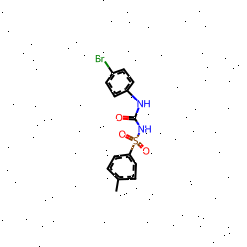 Cc1ccc(S(=O)(=O)NC(=O)Nc2ccc(Br)cc2)cc1